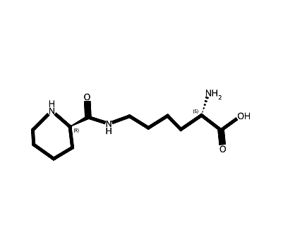 N[C@@H](CCCCNC(=O)[C@H]1CCCCN1)C(=O)O